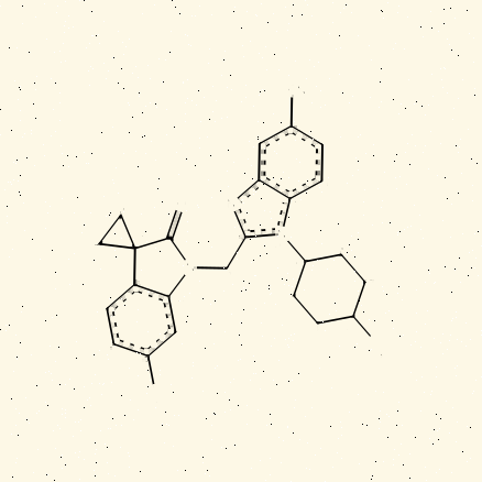 N#Cc1ccc2c(c1)nc(CN1C(=O)C3(CC3)c3ccc(F)cc31)n2C1CCC(O)CC1